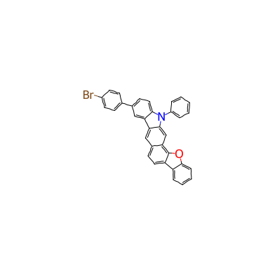 Brc1ccc(-c2ccc3c(c2)c2cc4ccc5c6ccccc6oc5c4cc2n3-c2ccccc2)cc1